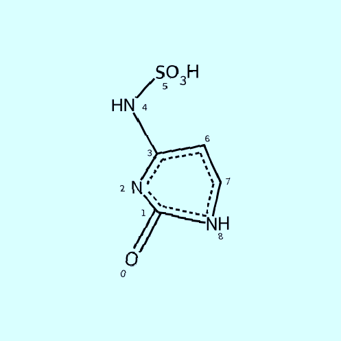 O=c1nc(NS(=O)(=O)O)cc[nH]1